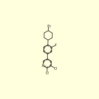 CCC1CCC(c2ccc(-c3cnc(Cl)c(Cl)c3)cc2F)CC1